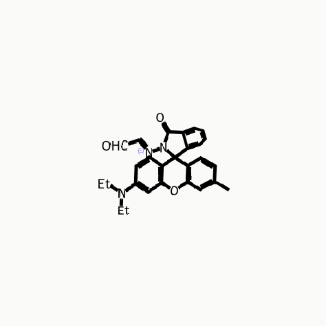 CCN(CC)c1ccc2c(c1)Oc1cc(C)ccc1C21c2ccccc2C(=O)N1/N=C/C=O